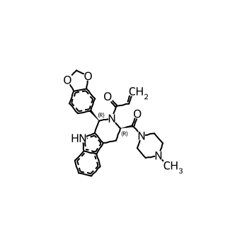 C=CC(=O)N1[C@H](c2ccc3c(c2)OCO3)c2[nH]c3ccccc3c2C[C@@H]1C(=O)N1CCN(C)CC1